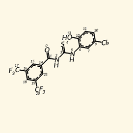 O=C(NC(=S)Nc1cc(Cl)ccc1O)c1cc(C(F)(F)F)cc(C(F)(F)F)c1